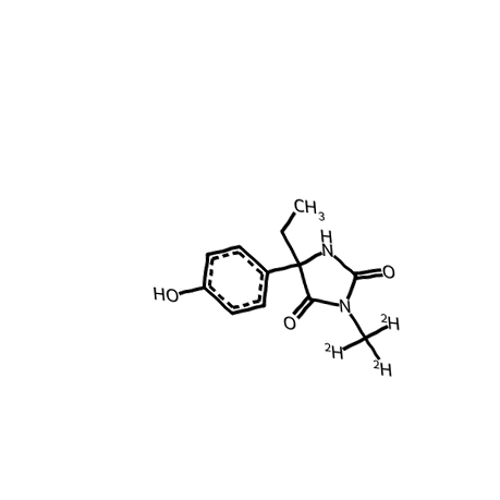 [2H]C([2H])([2H])N1C(=O)NC(CC)(c2ccc(O)cc2)C1=O